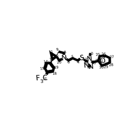 Cn1c(SCCCN2CC[C@]3(C[C@@H]3c3ccc(C(F)(F)F)cc3)C2)nnc1C1CC2CCC(C1)O2